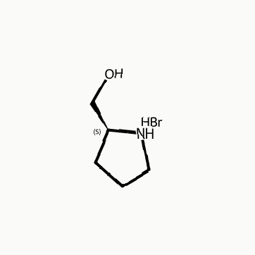 Br.OC[C@@H]1CCCN1